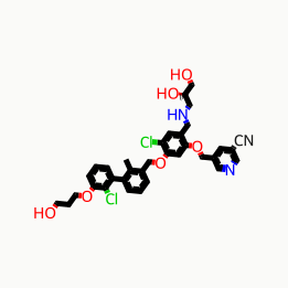 Cc1c(COc2cc(OCc3cncc(C#N)c3)c(CNC[C@@H](O)CO)cc2Cl)cccc1-c1cccc(OCCCO)c1Cl